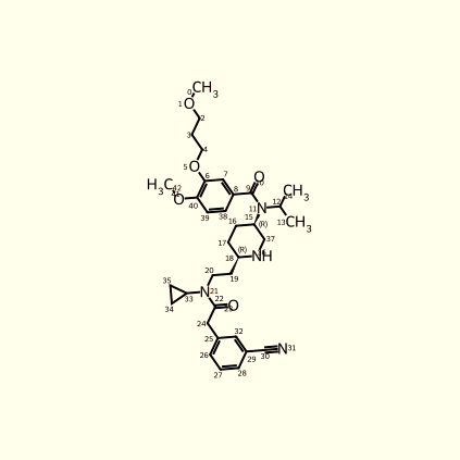 COCCCOc1cc(C(=O)N(C(C)C)[C@@H]2CC[C@H](CCN(C(=O)Cc3cccc(C#N)c3)C3CC3)NC2)ccc1OC